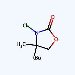 CC(C)(C)C1(C)COC(=O)N1Cl